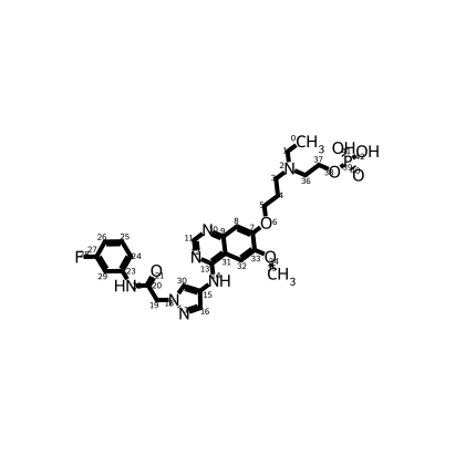 CCN(CCCOc1cc2ncnc(Nc3cnn(CC(=O)Nc4cccc(F)c4)c3)c2cc1OC)CCOP(=O)(O)O